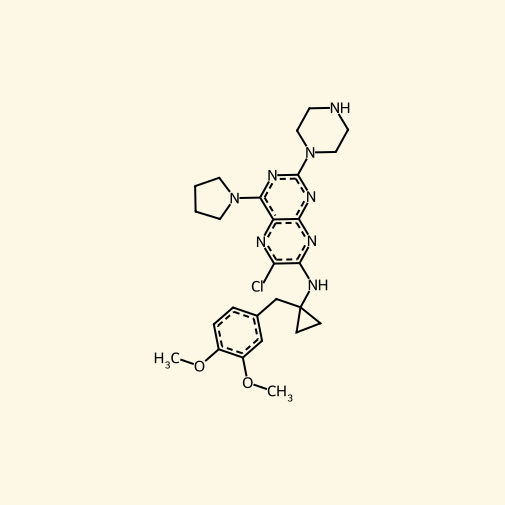 COc1ccc(CC2(Nc3nc4nc(N5CCNCC5)nc(N5CCCC5)c4nc3Cl)CC2)cc1OC